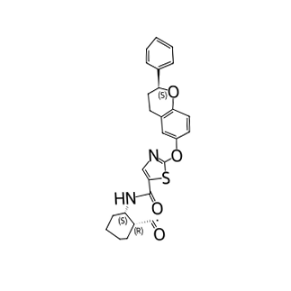 O=[C][C@@H]1CCCC[C@@H]1NC(=O)c1cnc(Oc2ccc3c(c2)CC[C@@H](c2ccccc2)O3)s1